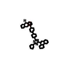 C1=CCC2C(=C1)C1C3=C(CC=C3)[C@H]2c2cccc(-c3ccc(-c4ccc(-c5nc(-c6ccccc6)nc(-c6cc7ccccc7c7ccccc67)n5)cc4)cc3)c21